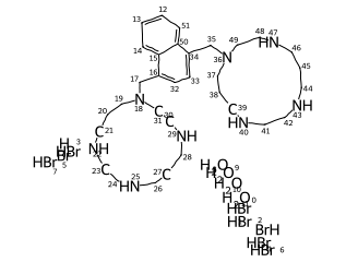 Br.Br.Br.Br.Br.Br.Br.Br.O.O.O.O.c1ccc2c(CN3CCCNCCNCCCNCC3)ccc(CN3CCCNCCNCCCNCC3)c2c1